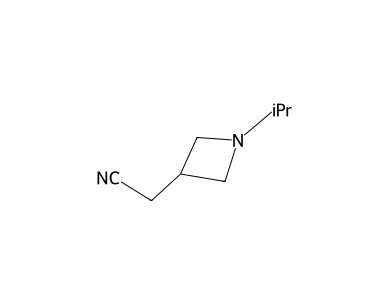 CC(C)N1CC(CC#N)C1